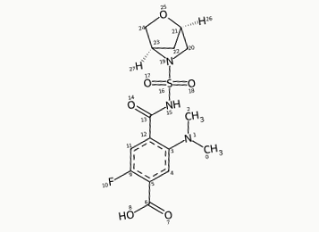 CN(C)c1cc(C(=O)O)c(F)cc1C(=O)NS(=O)(=O)N1C[C@H]2C[C@@H]1CO2